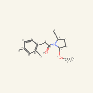 CCOC(=O)OC1CCC(C)N1C(=O)Cc1ccc(C)cc1C